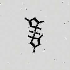 CC1=C[C](C)([Ti]([CH3])([CH3])[C]2(C)C=C(C)C=C2C)C(C)=C1